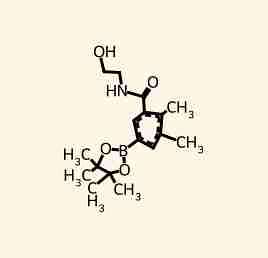 Cc1cc(B2OC(C)(C)C(C)(C)O2)cc(C(=O)NCCO)c1C